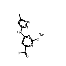 Cc1cc(Nc2cc(C(=O)[O-])nc(Cl)n2)n[nH]1.[Na+]